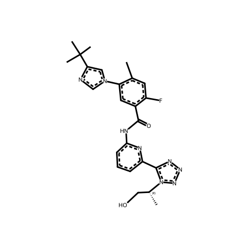 Cc1cc(F)c(C(=O)Nc2cccc(-c3nnnn3[C@H](C)CO)n2)cc1-n1cnc(C(C)(C)C)c1